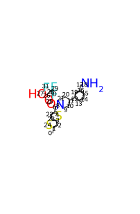 Cc1cc2sc(C(=O)N3CCC(c4cccc(CN)c4)CC3)cc2s1.O=C(O)C(F)(F)F